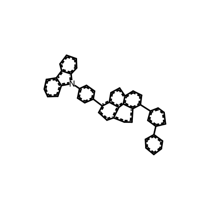 c1ccc(-c2cccc(-c3ccc4ccc5c(-c6ccc(-n7c8ccccc8c8ccccc87)cc6)ccc6ccc3c4c65)c2)cc1